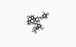 COC(=O)c1cc2c(OC)ccc(N3C[C@@H](C)n4c(c(CCCOc5cc(C)c(Cl)c(C)c5)c5ccc(Cl)c(-c6c(C)ncnc6C)c54)C3=O)c2[nH]1